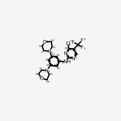 FC(F)(F)c1cnc(Nc2cc(N3CCOCC3)cc(N3CCOCC3)c2)nc1Cl